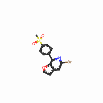 CS(=O)(=O)c1ccc(-c2nc(Br)cc3ccoc23)cc1